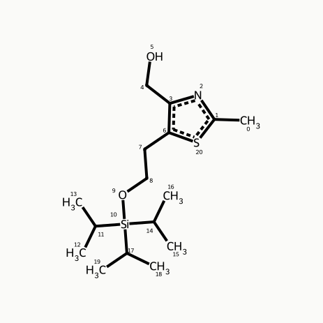 Cc1nc(CO)c(CCO[Si](C(C)C)(C(C)C)C(C)C)s1